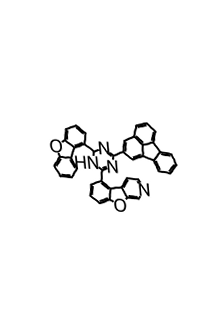 c1ccc2c(c1)-c1cccc3cc(C4=NC(c5cccc6oc7ccccc7c56)NC(c5cccc6oc7cnccc7c56)=N4)cc-2c13